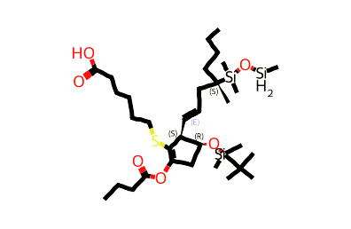 CCCC[C@@](C)(C/C=C/[C@@H]1C(SCCCCCC(=O)O)=C(OC(=O)CCC)C[C@H]1O[Si](C)(C)C(C)(C)C)[Si](C)(C)O[SiH2]C